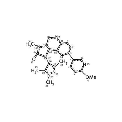 COc1ccc(-c2ccc3ncc4c(c3c2)n(-c2c(C)nn(C)c2C)c(=O)n4C)cn1